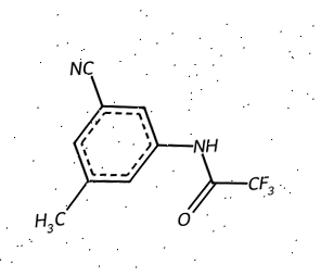 Cc1cc(C#N)cc(NC(=O)C(F)(F)F)c1